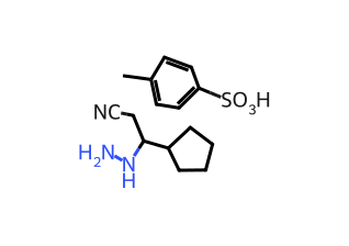 Cc1ccc(S(=O)(=O)O)cc1.N#CCC(NN)C1CCCC1